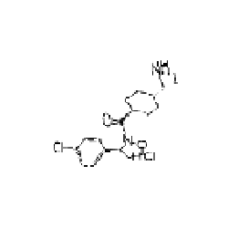 Cl.NC[C@H]1CC[C@H](C(=O)N2OCC[C@H]2c2ccc(Cl)cc2)CC1